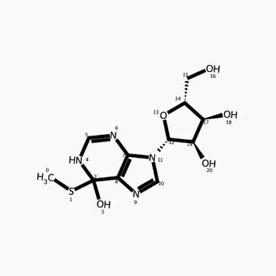 CSC1(O)NC=Nc2c1ncn2[C@@H]1O[C@H](CO)[C@@H](O)[C@H]1O